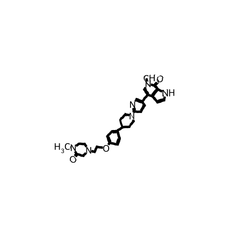 CN1CCN(CCOc2ccc(C3CCN(c4ccc(-c5cn(C)c(=O)c6[nH]ccc56)cn4)CC3)cc2)CC1=O